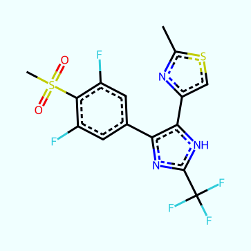 Cc1nc(-c2[nH]c(C(F)(F)F)nc2-c2cc(F)c(S(C)(=O)=O)c(F)c2)cs1